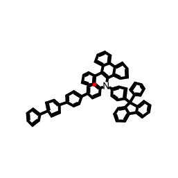 c1ccc(-c2ccc(-c3ccc(-c4ccc(N(c5ccc(C6(c7ccccc7)c7ccccc7-c7ccccc76)cc5)c5c(-c6ccccc6)c6ccccc6c6ccccc56)cc4)cc3)cc2)cc1